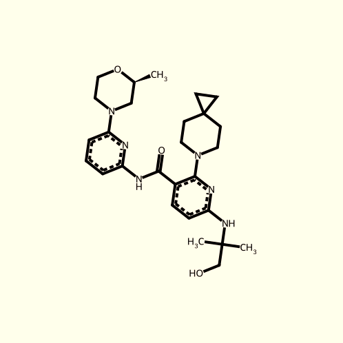 C[C@H]1CN(c2cccc(NC(=O)c3ccc(NC(C)(C)CO)nc3N3CCC4(CC3)CC4)n2)CCO1